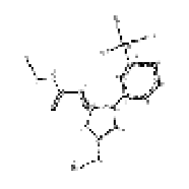 CCOC(=O)/N=C1\SC(CBr)CN1c1cccc(C(F)(F)F)c1